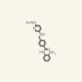 CC(=O)Nc1ccc(NCc2ccc(C(=O)Nc3ccccc3N)cc2)cn1